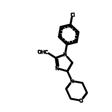 O=CC1=NC(N2CCOCC2)CN1c1ccc(Cl)cc1